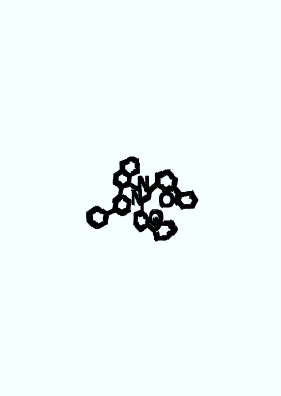 c1ccc(-c2cccc(-c3ccc4ccccc4c3-c3nc(-c4cccc5c4oc4ccccc45)cc(-c4cccc5c4oc4ccccc45)n3)c2)cc1